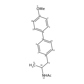 COc1ccc(-c2ccc(CC(C)NC(C)=O)cc2)cc1